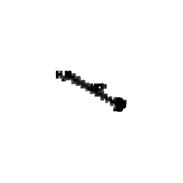 CO[Si](CCCCCCCCCCCC=CCCCCCCCCN)(OC)OC.Cl